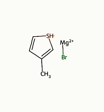 CC1=C[SH]C=C1.[Mg+2][Br]